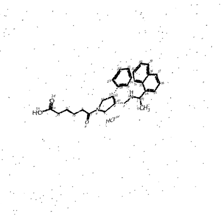 C[C@@H](NC[C@@H]1CN(C(=O)CCCCC(=O)O)C[C@@H]1c1ccccc1)c1cccc2ccccc12.Cl